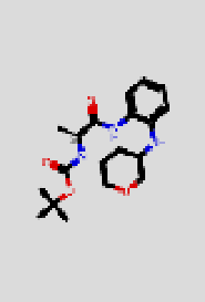 C[C@H](NC(=O)OC(C)(C)C)C(=O)Nc1ccccc1NC1CCCOC1